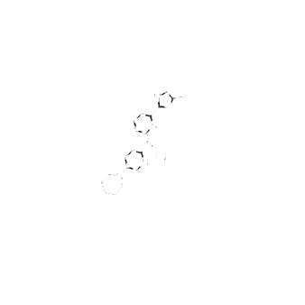 CCc1cnc(-c2cccc(Nc3ccc(N4CCCCC4)cn3)n2)s1.Cl.Cl